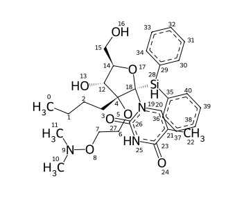 CCCC[C@@]1(OCCON(C)C)[C@H](O)[C@@H](CO)O[C@]1(n1cc(C)c(=O)[nH]c1=O)[SiH](c1ccccc1)c1ccccc1